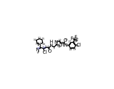 C/N=C(\C(Cl)=C\C(=O)NCc1ncc(C(=O)Nc2ccc(Cl)c(C(F)(F)F)c2)s1)N1CCCCC1